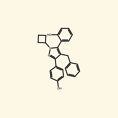 Oc1ccc(-c2nn(C3CCC3)c(-c3ccccc3O)c2Cc2ccccc2)cc1